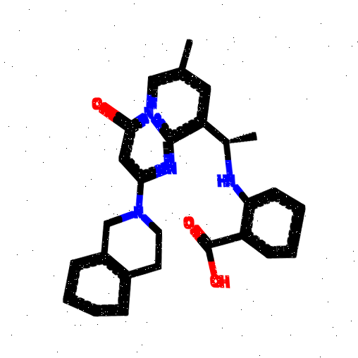 Cc1cc([C@H](C)Nc2ccccc2C(=O)O)c2nc(N3CCc4ccccc4C3)cc(=O)n2c1